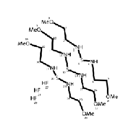 COCCNSNCCOC.COCCNSNCCOC.COCCNSNCCOC.F.F.F